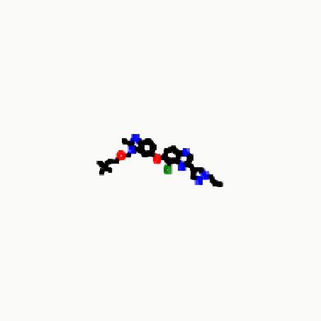 C=CCn1cc(-c2cnc3ccc(Oc4ccc5nc(C)n(COCC[Si](C)(C)C)c5c4)c(Cl)c3n2)cn1